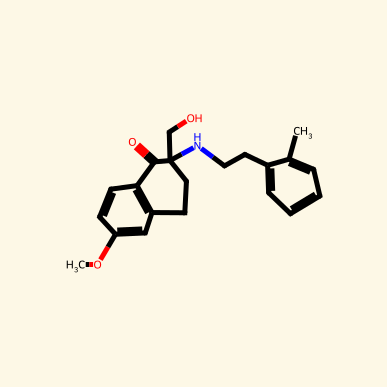 COc1ccc2c(c1)CCC(CO)(NCCc1ccccc1C)C2=O